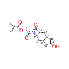 C=C(C)C(=O)OCC(=O)N1C(=O)C2CC3CC(O)CC3CC21